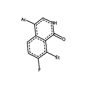 CCc1c(F)ccc2c(C(C)=O)c[nH]c(=O)c12